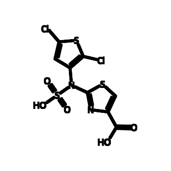 O=C(O)c1csc(N(c2cc(Cl)sc2Cl)S(=O)(=O)O)n1